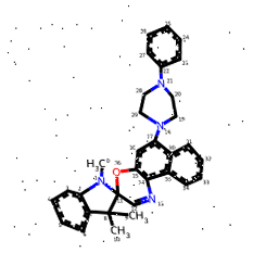 CN1c2ccccc2C(C)(C)C12C=Nc1c(cc(N3CCN(c4ccccc4)CC3)c3ccccc13)O2